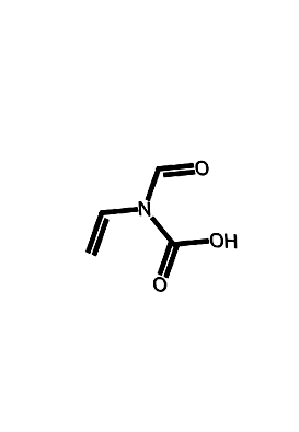 C=CN(C=O)C(=O)O